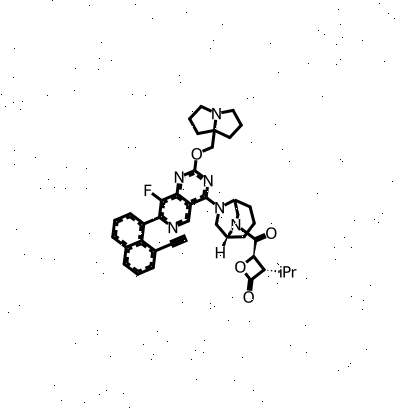 C#Cc1cccc2cccc(-c3ncc4c(N5C[C@H]6CCCC5CN6C(=O)[C@@H]5OC(=O)[C@H]5C(C)C)nc(OCC56CCCN5CCC6)nc4c3F)c12